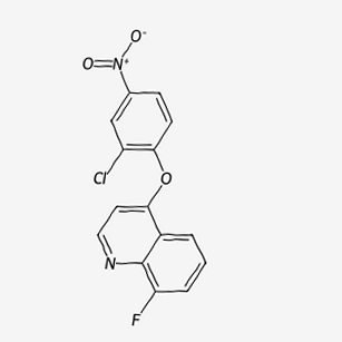 O=[N+]([O-])c1ccc(Oc2ccnc3c(F)cccc23)c(Cl)c1